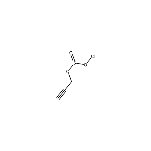 C#CCOS(=O)OCl